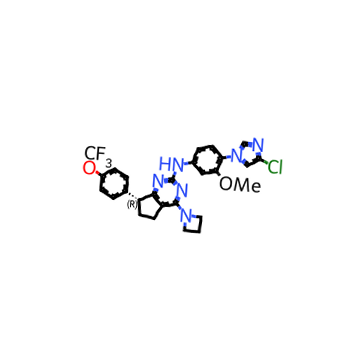 COc1cc(Nc2nc3c(c(N4CCC4)n2)CC[C@@H]3c2ccc(OC(F)(F)F)cc2)ccc1-n1cnc(Cl)c1